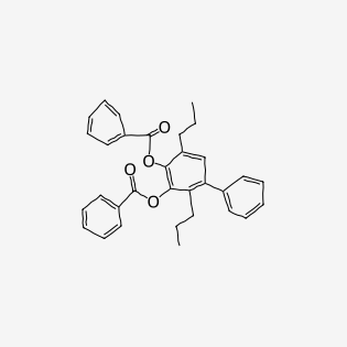 CCCc1cc(-c2ccccc2)c(CCC)c(OC(=O)c2ccccc2)c1OC(=O)c1ccccc1